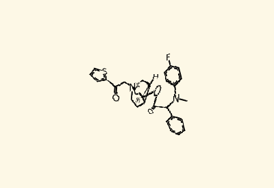 CN(c1ccc(F)cc1)C(C(=O)O[C@H]1C[N+]2(CC(=O)c3cccs3)CCC1CC2)c1ccccc1